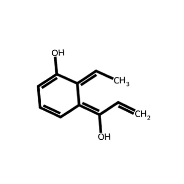 C=C/C(O)=c1/cccc(O)/c1=C/C